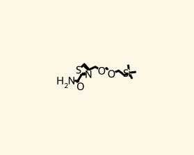 C[Si](C)(C)CCOCOCc1csc(C(N)=O)n1